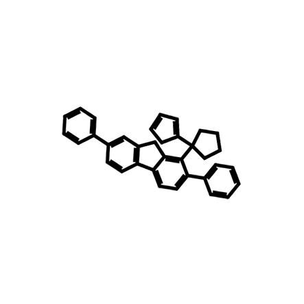 C1=CCC(C2(c3c(-c4ccccc4)ccc4c3Cc3cc(-c5ccccc5)ccc3-4)CCCC2)=C1